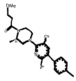 COCCC(=O)N1CCN(c2nc(C(C)C)c(-c3ccc(C)cc3)cc2C#N)C[C@H]1C